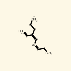 C=C/C(=C\N=C/CC)CCN